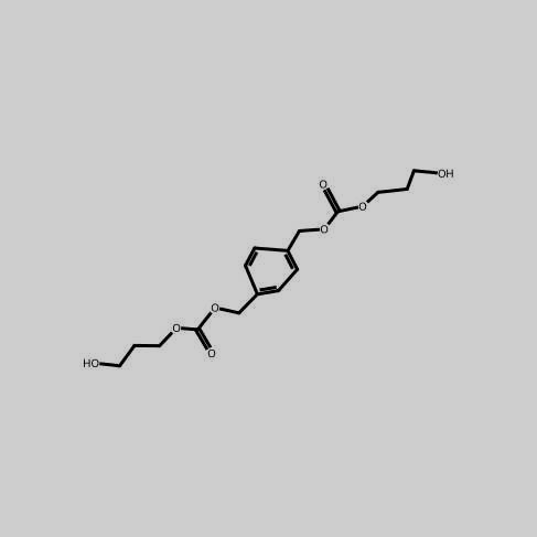 O=C(OCCCO)OCc1ccc(COC(=O)OCCCO)cc1